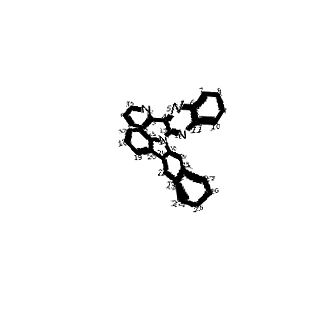 c1ccc(-c2nc3ccccc3nc2-n2c3ccccc3c3cc4ccccc4cc32)nc1